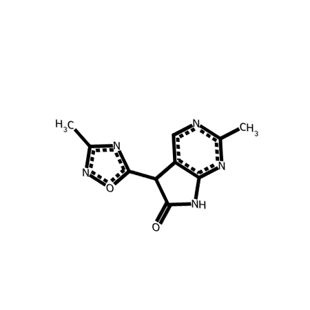 Cc1noc(C2C(=O)Nc3nc(C)ncc32)n1